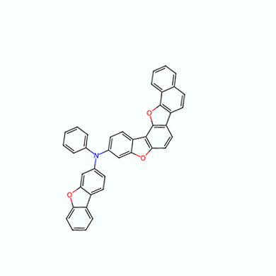 c1ccc(N(c2ccc3c(c2)oc2ccccc23)c2ccc3c(c2)oc2ccc4c5ccc6ccccc6c5oc4c23)cc1